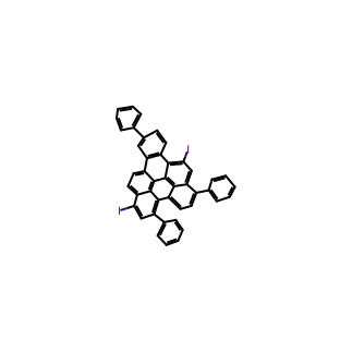 Ic1cc(-c2ccccc2)c2c3ccc(-c4ccccc4)c4cc(I)c5c6ccc(-c7ccccc7)cc6c6ccc1c2c6c5c43